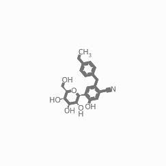 CCc1ccc(Cc2cc([C@@H]3O[C@H](CO)[C@@H](O)[C@H](O)[C@H]3O)c(O)cc2C#N)cc1